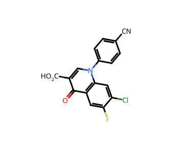 N#Cc1ccc(-n2cc(C(=O)O)c(=O)c3cc(F)c(Cl)cc32)cc1